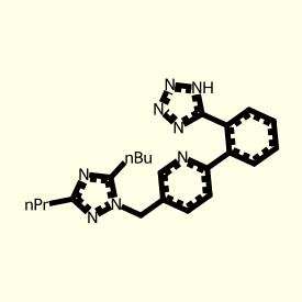 CCCCc1nc(CCC)nn1Cc1ccc(-c2ccccc2-c2nnn[nH]2)nc1